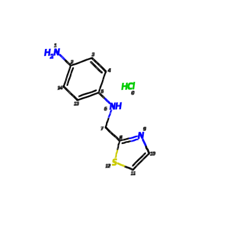 Cl.Nc1ccc(NCc2nccs2)cc1